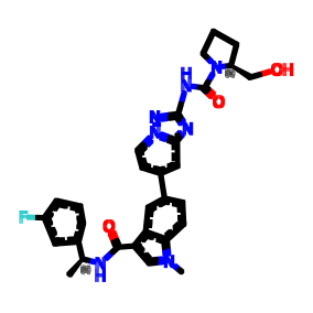 C[C@H](NC(=O)c1cn(C)c2ccc(-c3ccn4nc(NC(=O)N5CCC[C@H]5CO)nc4c3)cc12)c1cccc(F)c1